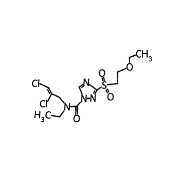 CCOCCS(=O)(=O)c1ncn(C(=O)N(CC)CC(Cl)=CCl)n1